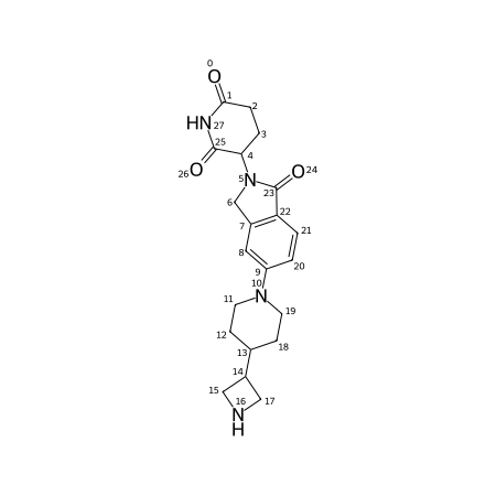 O=C1CCC(N2Cc3cc(N4CCC(C5CNC5)CC4)ccc3C2=O)C(=O)N1